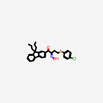 CCCC1(CCC)c2ccccc2-c2ccc(C(=O)C(CCSc3ccc(Cl)cc3)=NO)cc21